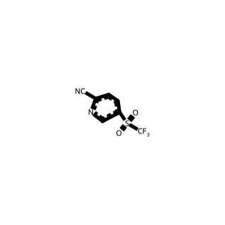 N#Cc1ccc(S(=O)(=O)C(F)(F)F)cn1